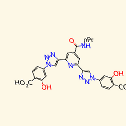 CCCNC(=O)c1cc(-c2cn(-c3ccc(C(=O)O)c(O)c3)nn2)nc(-c2cn(-c3ccc(C(=O)O)c(O)c3)nn2)c1